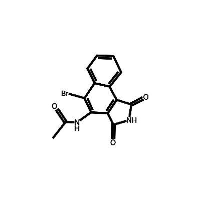 CC(=O)Nc1c2c(c3ccccc3c1Br)C(=O)NC2=O